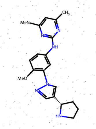 CNc1cc(C)nc(Nc2ccc(OC)c(-n3cc([C@@H]4CCCN4)cn3)c2)n1